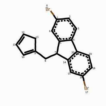 Brc1ccc2c(c1)C(CC1=CC=CC1)c1cc(Br)ccc1-2